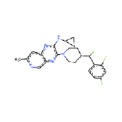 Cc1cc2nc(NC3CC3)c(N3CCC([C@@H](F)c4ccc(F)cc4F)CC3)nc2cn1